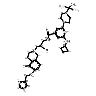 CC(C)(C)N1CCN(c2cc(C(=O)NCC(O)CN3CCc4c(ccc(OCc5cnco5)c4Cl)C3)cc(NC3CCC3)n2)CC1